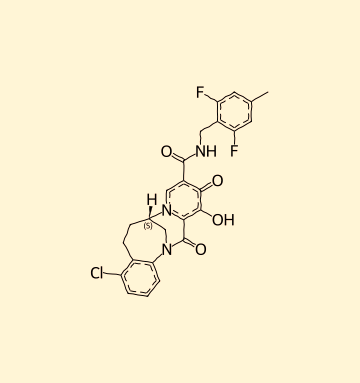 Cc1cc(F)c(CNC(=O)c2cn3c(c(O)c2=O)C(=O)N2C[C@@H]3CCc3c(Cl)cccc32)c(F)c1